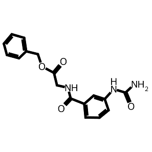 NC(=O)Nc1cccc(C(=O)NCC(=O)OCc2ccccc2)c1